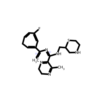 C/C=C(\N=C(\NCC1CNCCS1)C1=NCCN=C1C)C1=CCC=CC(F)=C1